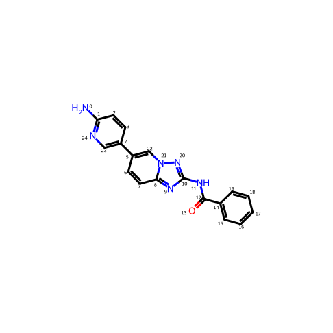 Nc1ccc(-c2ccc3nc(NC(=O)c4ccccc4)nn3c2)cn1